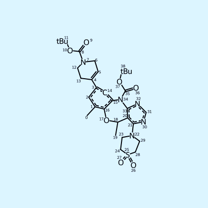 Cc1cc(C2=CCN(C(=O)OC(C)(C)C)CC2)cc2c1OC(C)c1c(N3CCS(=O)(=O)CC3)ncnc1N2C(=O)OC(C)(C)C